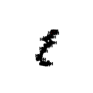 O=C(O)CC[C@H](NC(=O)N[C@@H](CCCCNC(=O)[C@H](Cc1ccccc1)NC(=O)COc1ccc(C[C@H](NC(=O)CNC(=O)CCC(C(=O)O)N2CCN(CC(=O)O)CCN(C(CCC(O)NCC(=O)NC(P(=O)(O)O)P(=O)(O)O)C(O)O)CCN(CC(=O)O)CC2)C(=O)O)cc1)C(=O)O)C(=O)O